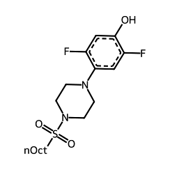 CCCCCCCCS(=O)(=O)N1CCN(c2cc(F)c(O)cc2F)CC1